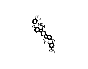 N#C/N=c1\c2cc(Oc3ccc(C(F)(F)F)cc3)ccc2c2cc3/c(=N/C#N)c4cc(Oc5ccc(C(F)(F)F)cc5)ccc4c3cc12